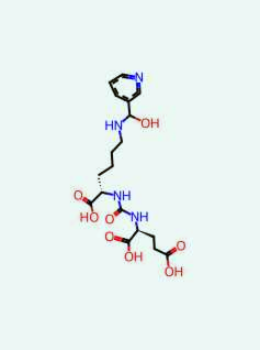 O=C(O)CC[C@H](NC(=O)N[C@@H](CCCCNC(O)c1cccnc1)C(=O)O)C(=O)O